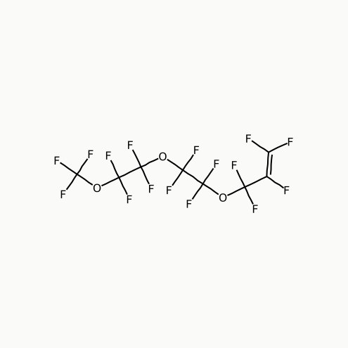 FC(F)=C(F)C(F)(F)OC(F)(F)C(F)(F)OC(F)(F)C(F)(F)OC(F)(F)F